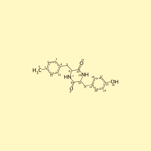 Cc1ccc(CC2NC(=O)C(Cc3ccc(O)cc3)NC2=O)cc1